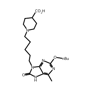 CCCCOc1nc(C)c2[nH]c(=O)n(CCCCCN3CCC(C(=O)O)CC3)c2n1